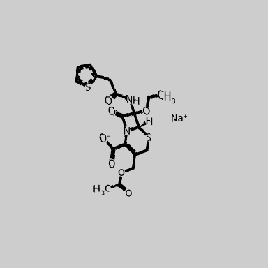 CCOC1(NC(=O)Cc2cccs2)C(=O)N2C(C(=O)[O-])=C(COC(C)=O)CS[C@H]21.[Na+]